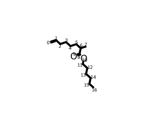 C=CCCCCC(C)C(=O)OCCCCCC